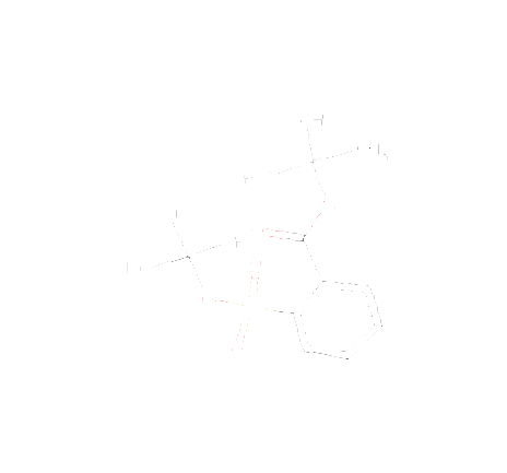 CC(C)(C)OC(=O)c1ccccc1S(=O)(=O)OC(C)(C)C